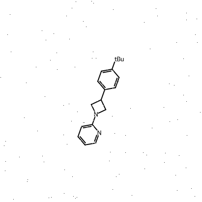 CC(C)(C)c1ccc(C2CN(c3ccccn3)C2)cc1